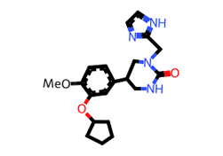 COc1ccc(C2CNC(=O)N(Cc3ncc[nH]3)C2)cc1OC1CCCC1